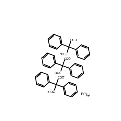 O=C([O-])C(C(=O)[O-])(c1ccccc1)c1ccccc1.O=C([O-])C(C(=O)[O-])(c1ccccc1)c1ccccc1.O=C([O-])C(C(=O)[O-])(c1ccccc1)c1ccccc1.[Fe+3].[Fe+3]